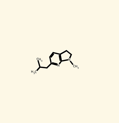 CC(C)Cc1ccc2c(n1)N(C)CC2